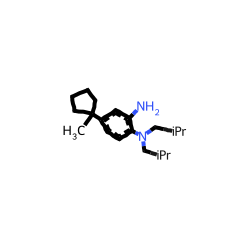 CC(C)CN(CC(C)C)c1ccc(C2(C)CCCC2)cc1N